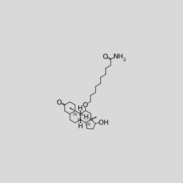 C[C@]12CCC(=O)CC1CC[C@@H]1[C@H]2C(OCCCCCCCCCC(N)=O)C[C@]2(C)C(O)CC[C@@H]12